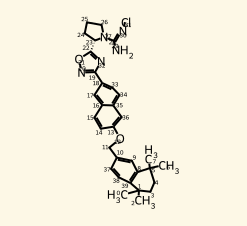 CC1(C)CCC(C)(C)c2cc(COc3ccc4cc(-c5noc([C@@H]6CCCN6/C(N)=N\Cl)n5)ccc4c3)ccc21